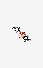 C=C1CCC(COS(=O)(=O)c2ccc(C)cc2)CC1